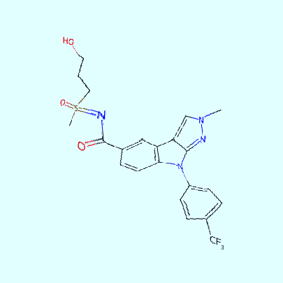 Cn1cc2c3cc(C(=O)N=S(C)(=O)CCCO)ccc3n(-c3ccc(C(F)(F)F)cc3)c2n1